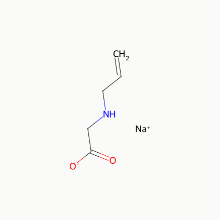 C=CCNCC(=O)[O-].[Na+]